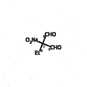 CCC(C=O)(C=O)[N+](=O)[O-]